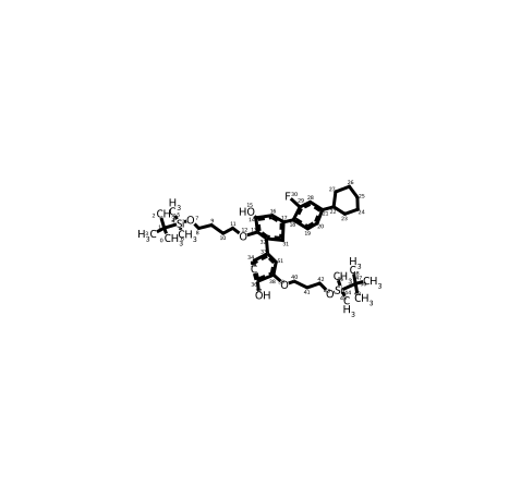 CC(C)(C)[Si](C)(C)OCCCCOc1c(O)cc(-c2ccc(C3CCCCC3)cc2F)cc1-c1ccc(O)c(OCCCO[Si](C)(C)C(C)(C)C)c1